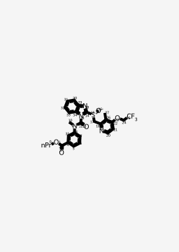 CCCOC(=O)c1cccc(N(C)C(=O)n2c([S+]([O-])Cc3nccc(OCC(F)(F)F)c3C)nc3ccccc32)c1